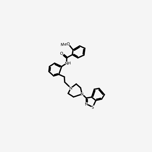 COc1ccccc1C(=O)Nc1ccccc1CCN1CCN(c2nsc3ccccc23)CC1